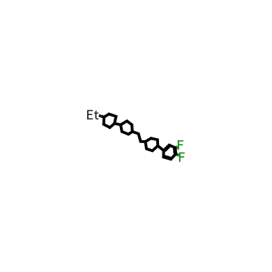 CCC1CCC(C2CCC(CCC3CCC(c4ccc(F)c(F)c4)CC3)CC2)CC1